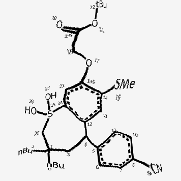 CCCCC1(CCCC)CC(c2ccc(C#N)cc2)c2cc(SC)c(OCC(=O)OC(C)(C)C)cc2S(O)(O)C1